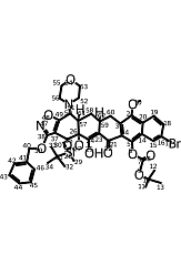 COc1c2c(c(OC(=O)OC(C)(C)C)c3cc(Br)ccc13)C(=O)C1=C(O)[C@]3(O[Si](C)(C)C(C)(C)C)C(=O)c4c(OCc5ccccc5)noc4[C@@H](N4CCOCC4)[C@@H]3C[C@@H]1C2